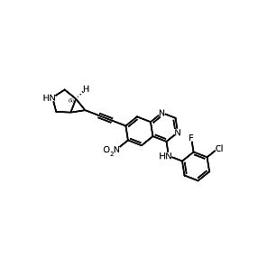 O=[N+]([O-])c1cc2c(Nc3cccc(Cl)c3F)ncnc2cc1C#CC1C2CNC[C@@H]12